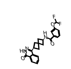 O=C(N[C@H]1CC2(C1)C[C@H](c1n[nH]c(=O)c3ccccc31)C2)c1cccc(OC(F)F)c1